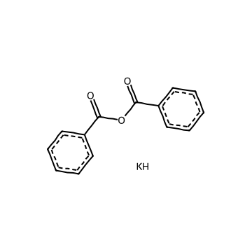 O=C(OC(=O)c1ccccc1)c1ccccc1.[KH]